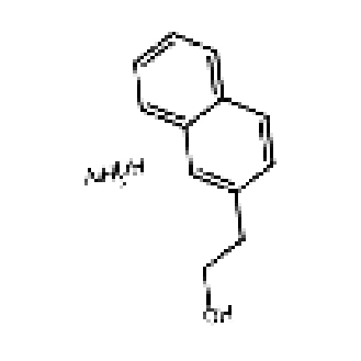 OCCc1ccc2ccccc2c1.[AlH3].[LiH]